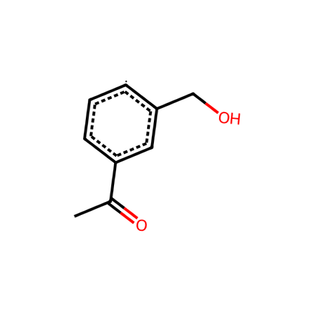 CC(=O)c1cc[c]c(CO)c1